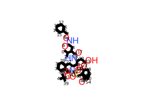 CC(C)C(CC(=O)NOCc1ccccc1)C(=O)NC(CC(=O)O)C(=O)C(Cc1ccccc1)N(C(=O)OC(C)(C)C)S(=O)(=O)CC12CCC(CC1=O)C2(C)C